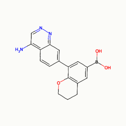 Nc1cnnc2cc(-c3cc(B(O)O)cc4c3OCCC4)ccc12